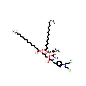 CCCCCCCCCCCCCC(=O)OCC(COC(=O)[C@H](Cc1ccc(N(CCCl)CCCl)cc1)NC(=O)OC(C)(C)C)OC(=O)CCCCCCCCCCCCC